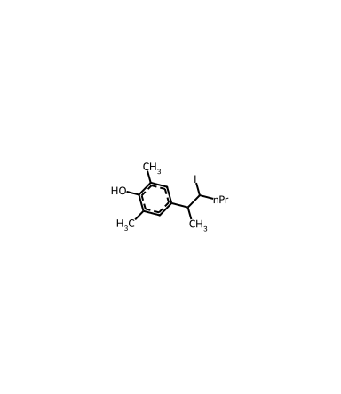 CCCC(I)C(C)c1cc(C)c(O)c(C)c1